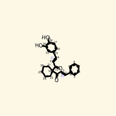 O=C(/C=C/c1ccccc1)C1(C(=O)/C=C/c2ccc(O)c(O)c2)CCCCC1